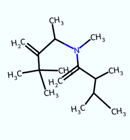 C=C(C(C)C(C)C)N(C)C(C)C(=C)C(C)(C)C